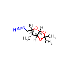 CC[C@@]1(CN=[N+]=[N-])O[C@@H]2OC(C)(C)O[C@@H]2[C@@H]1C